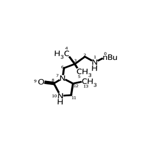 CCCCNCC(C)(C)CN1C(=O)NCC1C